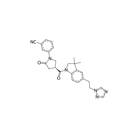 CC1(C)CN(C(=O)[C@H]2CC(=O)N(c3cccc(C#N)c3)C2)c2ccc(CCn3cncn3)cc21